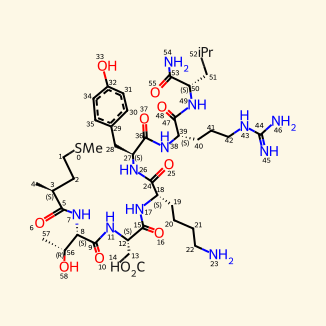 CSCC[C@H](C)C(=O)N[C@H](C(=O)N[C@@H](CC(=O)O)C(=O)N[C@@H](CCCCN)C(=O)N[C@@H](Cc1ccc(O)cc1)C(=O)N[C@@H](CCCNC(=N)N)C(=O)N[C@@H](CC(C)C)C(N)=O)[C@@H](C)O